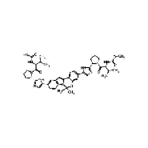 COC(=O)N[C@H](C(=O)N1CCC[C@H]1c1ncc(-c2ccc3c(c2)OC(C)(C)n2c-3cc3cc(-c4cnc([C@@H]5CCCN5C(=O)[C@@H](NC(=O)O)C(C)C)[nH]4)ccc32)[nH]1)C(C)C